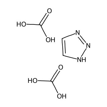 O=C(O)O.O=C(O)O.c1c[nH]nn1